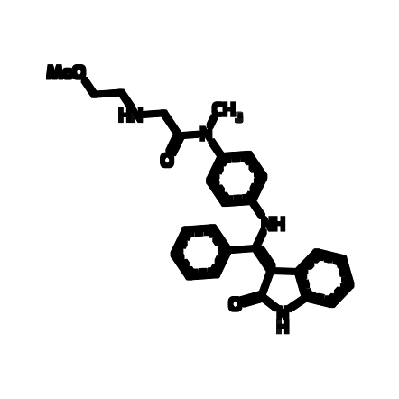 COCCNCC(=O)N(C)c1ccc(NC(=C2C(=O)Nc3ccccc32)c2ccccc2)cc1